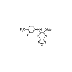 COc1nc2nonc2nc1Nc1ccc(C(F)(F)F)c(F)c1